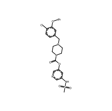 CC(C)Oc1cc(CN2CCN(C(=O)Oc3cncc(NS(C)(=O)=O)c3)CC2)ccc1Cl